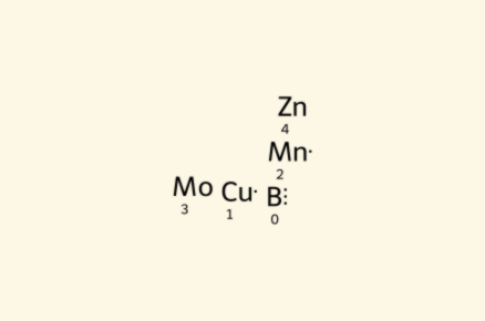 [B].[Cu].[Mn].[Mo].[Zn]